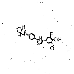 O=Cc1cc(-c2csc(-c3ccc(N4C[C@H]5CCC[C@H]5C4)cc3)n2)cc(F)c1O